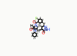 Cc1c(Cc2ccc(F)c(C(=O)N3C[C@@H]4C[C@H]3C(=O)N4c3ccccc3)c2)n[nH]c(=O)c1C